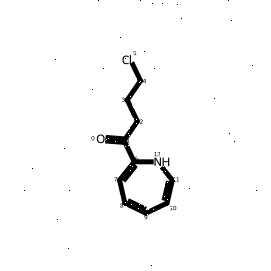 O=C(CCCCl)C1=CC=CC=CN1